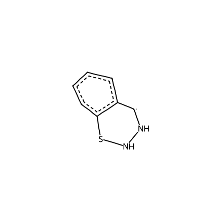 [CH]1NNSc2ccccc21